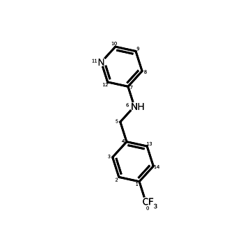 FC(F)(F)c1ccc(CNc2cccnc2)cc1